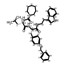 CC(C)C[C@H](NC(=O)N1CCCCCC1)C(=O)N[C@@H](Cc1ccc(OCc2ccccc2)cc1)C(=O)NCCc1c[nH]c2ccccc12